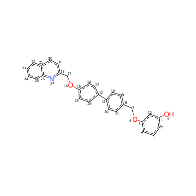 Oc1cccc(OCc2ccc(-c3ccc(OCc4ccc5ccccc5n4)cc3)cc2)c1